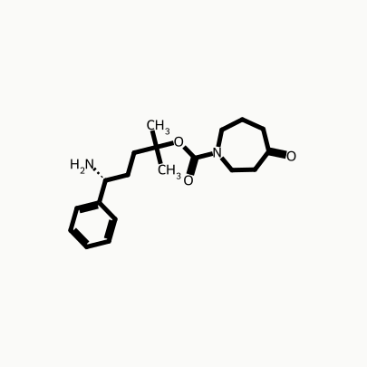 CC(C)(CC[C@@H](N)c1ccccc1)OC(=O)N1CCCC(=O)CC1